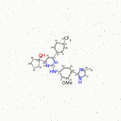 COc1cc(Nc2nc(-c3ccc(C(F)(F)F)cc3)cc(C3(O)CCCC3)n2)ccc1-c1nc(C)c[nH]1